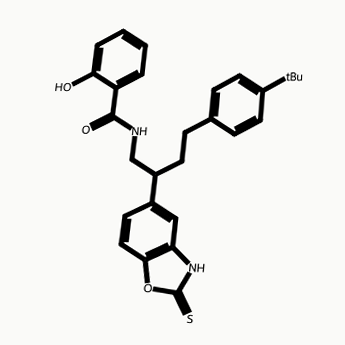 CC(C)(C)c1ccc(CCC(CNC(=O)c2ccccc2O)c2ccc3oc(=S)[nH]c3c2)cc1